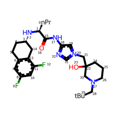 CCC[C@H](N[C@H]1CCc2cc(F)cc(F)c2C1)C(=O)Nc1cn(CC2(O)CCCN(CC(C)(C)C)C2)cn1